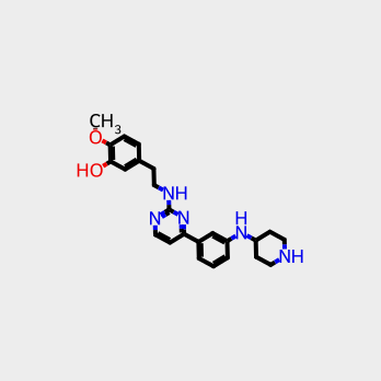 COc1ccc(CCNc2nccc(-c3cccc(NC4CCNCC4)c3)n2)cc1O